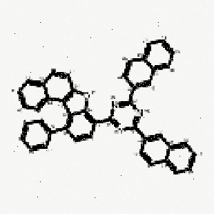 c1ccc(-c2ccc(-c3nc(-c4ccc5ccccc5c4)nc(-c4ccc5ccccc5c4)n3)c3oc4ccc5ccccc5c4c23)cc1